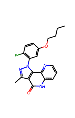 CCCCOc1ccc(F)c(-n2nc(C)c3c(=O)[nH]c4cccnc4c32)c1